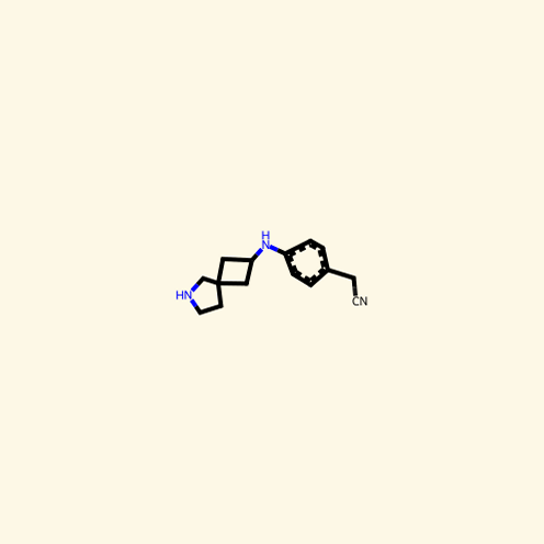 N#CCc1ccc(NC2CC3(CCNC3)C2)cc1